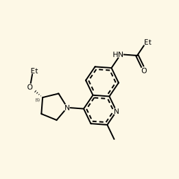 CCO[C@H]1CCN(c2cc(C)nc3cc(NC(=O)CC)ccc23)C1